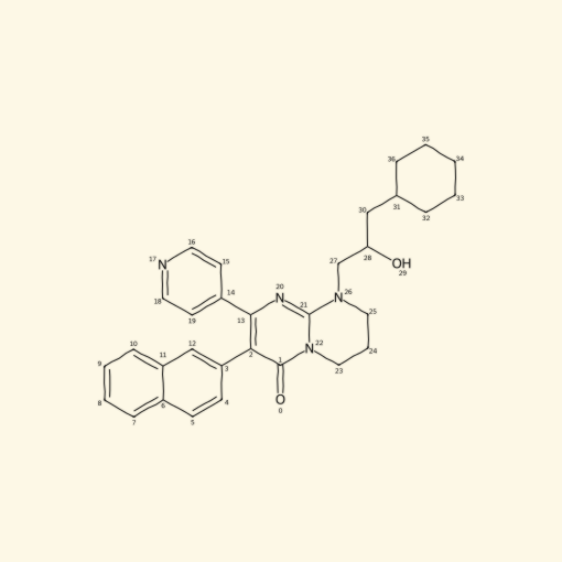 O=c1c(-c2ccc3ccccc3c2)c(-c2ccncc2)nc2n1CCCN2CC(O)CC1CCCCC1